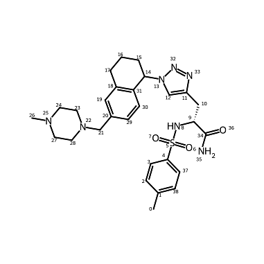 Cc1ccc(S(=O)(=O)N[C@H](Cc2cn(C3CCCc4cc(CN5CCN(C)CC5)ccc43)nn2)C(N)=O)cc1